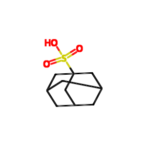 O=S(=O)(O)C12CC3CC(CC(C3)C1)C2